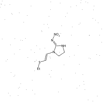 CCSC=CN1CCNC1=N[N+](=O)[O-]